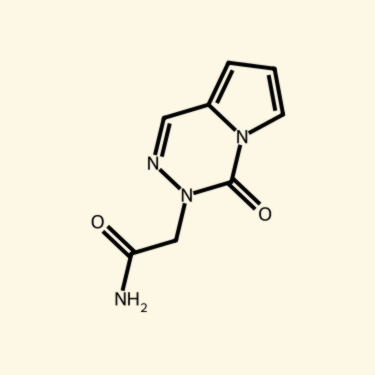 NC(=O)Cn1ncc2cccn2c1=O